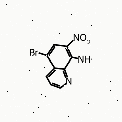 [NH]c1c([N+](=O)[O-])cc(Br)c2cccnc12